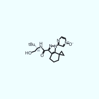 CC(C)(C)[C@@H](CO)NC(=O)c1nn(-c2c[n+]([O-])ccn2)c2c1CCCC21CC1